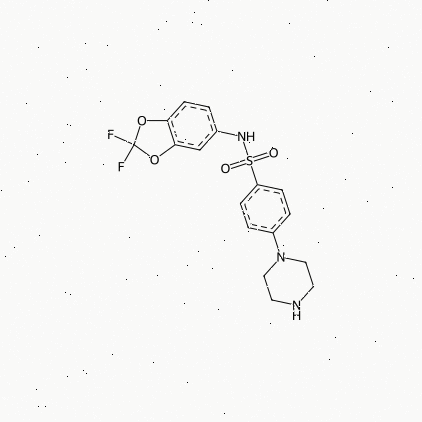 O=S(=O)(Nc1ccc2c(c1)OC(F)(F)O2)c1ccc(N2CCNCC2)cc1